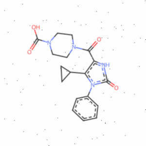 O=C(O)N1CCN(C(=O)c2[nH]c(=O)n(-c3ccccc3)c2C2CC2)CC1